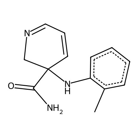 Cc1ccccc1NC1(C(N)=O)C=CC=NC1